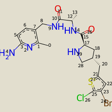 Cc1nc(N)ccc1CNC(=O)[C@H](C)NC(=O)[C@H]1C[C@H](Cc2cc(Br)c(Cl)s2)CN1